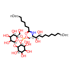 CCCCCCCCCCCCCCCC[C@@H](O)[C@@H](O)[C@H](COP(=O)(O)O[C@H]1C(O)C(O)C(O)[C@@H](O)C1O[C@H]1O[C@H](CO)[C@@H](O)C(O)C1O)NC(=O)CCCCCCCCCCCCCCC